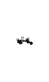 O=C1OC(CCCN[C@@H]2Cn3c(=O)ccc4ccc(F)c2c43)c2ccc(-c3ccccc3)cc21